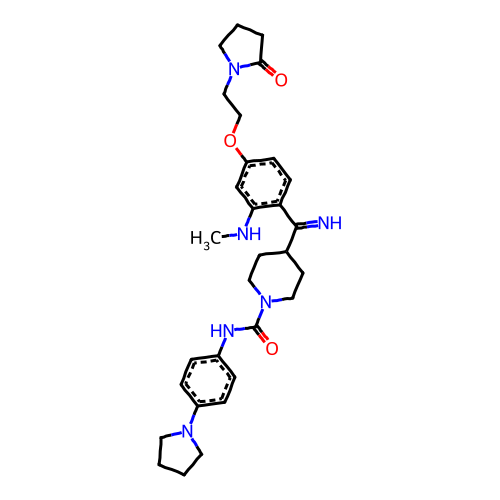 CNc1cc(OCCN2CCCC2=O)ccc1C(=N)C1CCN(C(=O)Nc2ccc(N3CCCC3)cc2)CC1